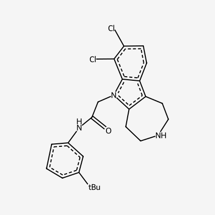 CC(C)(C)c1cccc(NC(=O)Cn2c3c(c4ccc(Cl)c(Cl)c42)CCNCC3)c1